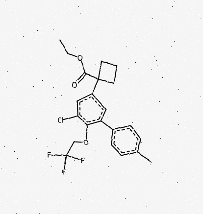 CCOC(=O)C1(c2cc(Cl)c(OCC(F)(F)F)c(-c3ccc(C)cc3)c2)CCC1